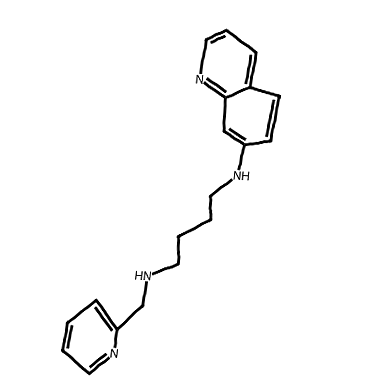 c1ccc(CNCCCCNc2ccc3cccnc3c2)nc1